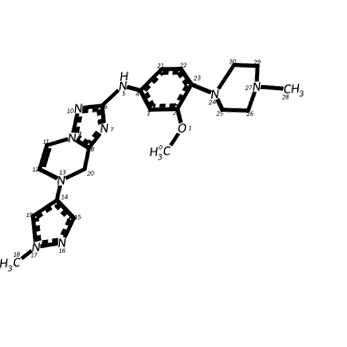 COc1cc(Nc2nc3n(n2)C=CN(c2cnn(C)c2)C3)ccc1N1CCN(C)CC1